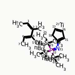 CC=C(C)C(C)=CC.CCCC[Si](C)(C)P(=NC1=CC=CC1)([Si](C)(C)CCCC)[Si](C)(C)CCCC.[Ti]